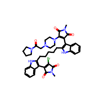 CN1C(=O)C(Br)=C(c2c(CCCCCc3[nH]c4ccccc4c3C3=C(N4CCN(CC(=O)N5CCCC5)CC4)C(=O)N(C)C3=O)[nH]c3ccccc23)C1=O